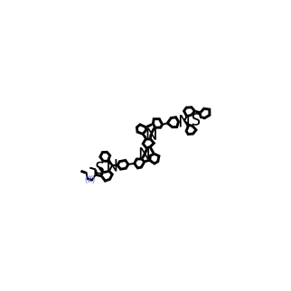 C=C/C=C\c1c(C)sc2c(N(c3ccccc3)c3ccc(-c4ccc5c6cccc7c8cc9c(cc8n(c5c4)c67)c4cccc5c6ccc(-c7ccc(N(c8ccccc8)c8cccc%10c8sc8ccccc8%10)cc7)cc6n9c54)cc3)cccc12